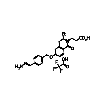 CCC1Cc2cc(OCc3ccc(C=NN)cc3)ccc2C(=O)N1CCC(=O)O.O=C(O)C(F)(F)F